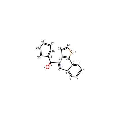 O=C(/C=C/c1ccccc1-c1cccs1)c1ccccc1